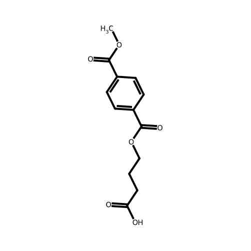 COC(=O)c1ccc(C(=O)OCCCC(=O)O)cc1